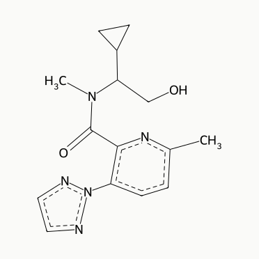 Cc1ccc(-n2nccn2)c(C(=O)N(C)C(CO)C2CC2)n1